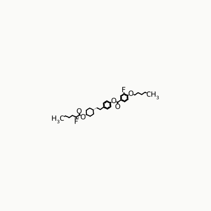 CCCCCOc1ccc(C(=O)Oc2ccc(CC[C@H]3CC[C@H](OC(=O)[C@@H](F)CCCC)CC3)cc2)cc1F